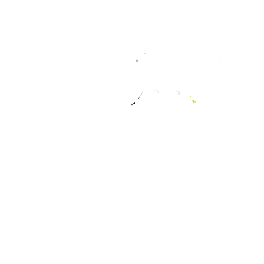 CC=CCS[C@H]1[C@@H](C/C=C\CCCC(=O)O)[C@H]2CC[C@@H]1O2